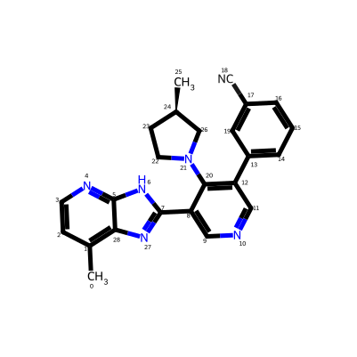 Cc1ccnc2[nH]c(-c3cncc(-c4cccc(C#N)c4)c3N3CC[C@@H](C)C3)nc12